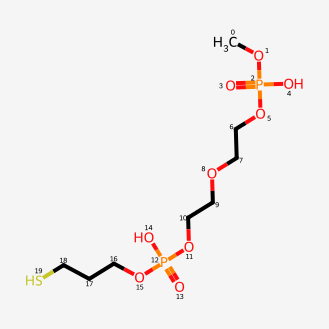 COP(=O)(O)OCCOCCOP(=O)(O)OCCCS